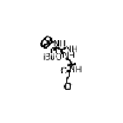 CC(C)CO/C(N/C=C/C(C)(C)NC(=O)CCC1CCCC1)=C(/C=N)C(=O)NC1C2CC3CC(C2)CC1C3